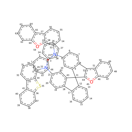 c1ccc(N(c2ccc3c(c2)C2(c4ccccc4-c4ccc(N(c5ccccc5)c5cccc6c5sc5ccccc56)cc42)c2oc4ccccc4c2-3)c2cccc3c2oc2ccccc23)cc1